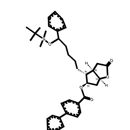 CC(C)(C)[Si](C)(C)OC(CCCC[C@@H]1[C@H]2CC(=O)O[C@H]2C[C@H]1OC(=O)c1ccc(-c2ccccc2)cc1)c1ccccc1